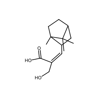 CC1(C)C2CCC1(C)C(C=C(CO)C(=O)O)C2